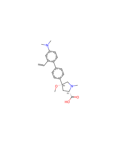 C=Cc1cc(N(C)C)ccc1-c1ccc([C@]2(OC)C[C@@H](C(=O)O)N(C)C2)cc1